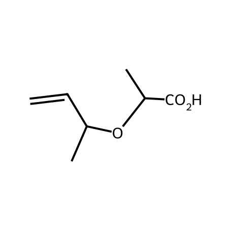 C=CC(C)OC(C)C(=O)O